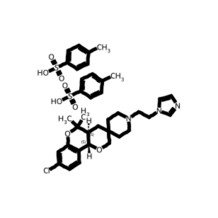 CC1(C)Oc2cc(Cl)ccc2[C@H]2OCC3(CCN(CCn4ccnc4)CC3)C[C@@H]21.Cc1ccc(S(=O)(=O)O)cc1.Cc1ccc(S(=O)(=O)O)cc1